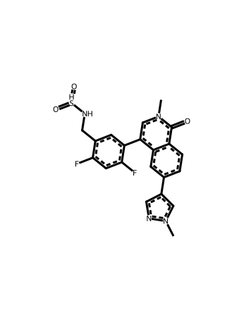 Cn1cc(-c2ccc3c(=O)n(C)cc(-c4cc(CN[SH](=O)=O)c(F)cc4F)c3c2)cn1